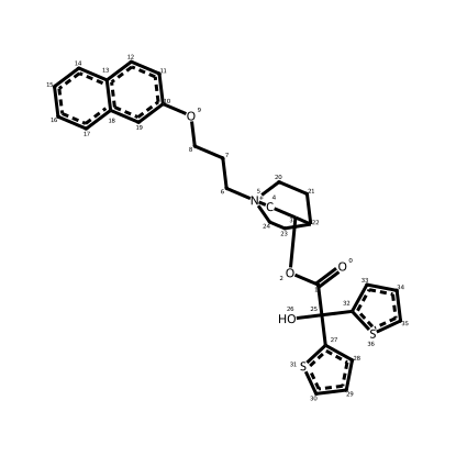 O=C(OC1C[N+]2(CCCOc3ccc4ccccc4c3)CCC1CC2)C(O)(c1cccs1)c1cccs1